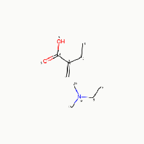 C=C(CC)C(=O)O.CCN(C)C